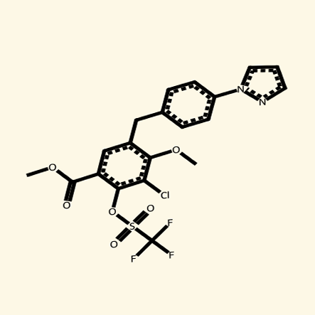 COC(=O)c1cc(Cc2ccc(-n3cccn3)cc2)c(OC)c(Cl)c1OS(=O)(=O)C(F)(F)F